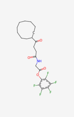 O=C(CCC(=O)C1CCCCCCCCC1)NCC(=O)Oc1c(F)c(F)c(F)c(F)c1F